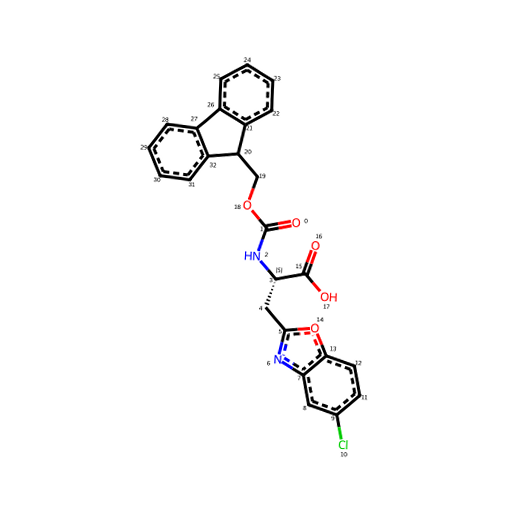 O=C(N[C@@H](Cc1nc2cc(Cl)ccc2o1)C(=O)O)OCC1c2ccccc2-c2ccccc21